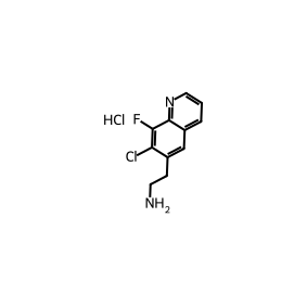 Cl.NCCc1cc2cccnc2c(F)c1Cl